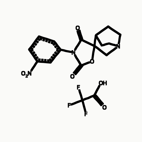 O=C(O)C(F)(F)F.O=C1OC2(CN3CCC2CC3)C(=O)N1c1cccc([N+](=O)[O-])c1